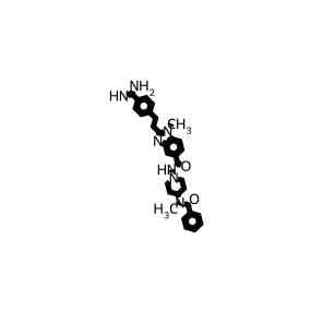 CN(C(=O)c1ccccc1)C1CCN(NC(=O)c2ccc3c(c2)nc(CCc2ccc(C(=N)N)cc2)n3C)CC1